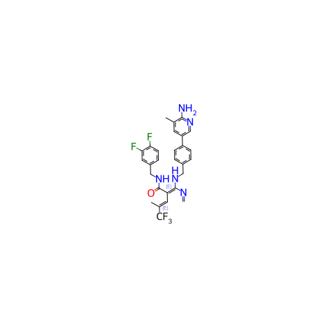 C=N/C(NCc1ccc(-c2cnc(N)c(C)c2)cc1)=C(\C=C(/C)C(F)(F)F)C(=O)NCc1ccc(F)c(F)c1